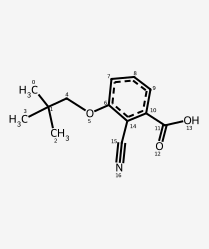 CC(C)(C)COc1cccc(C(=O)O)c1C#N